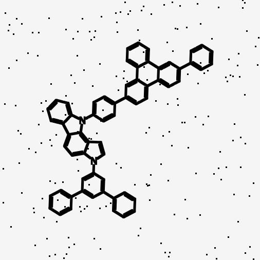 c1ccc(-c2cc(-c3ccccc3)cc(-n3ccc4c3ccc3c5ccccc5n(-c5ccc(-c6ccc7c8ccc(-c9ccccc9)cc8c8ccccc8c7c6)cc5)c34)c2)cc1